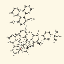 Cc1cc(C)c(C)c(B(c2c(C)c(C)cc(C)c2C)c2c(C)c(C)cc(C)c2C(c2ccncc2)(c2ccncc2)c2ccncc2)c1C.O=C(O)c1ccc(C(=O)O)cc1.O=C(O)c1cccc(P(=O)(O)O)c1.c1cc(-c2ccncc2)ccn1